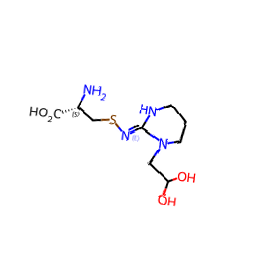 N[C@H](CS/N=C1\NCCCN1CC(O)O)C(=O)O